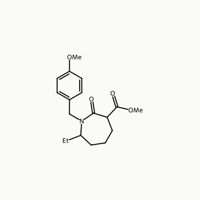 CCC1CCCC(C(=O)OC)C(=O)N1Cc1ccc(OC)cc1